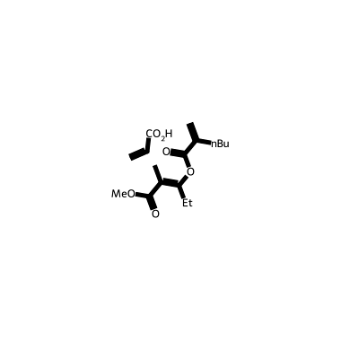 C=C(CCCC)C(=O)OC(CC)=C(C)C(=O)OC.C=CC(=O)O